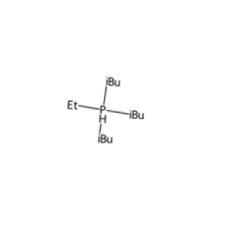 CCC(C)[PH](CC)(C(C)CC)C(C)CC